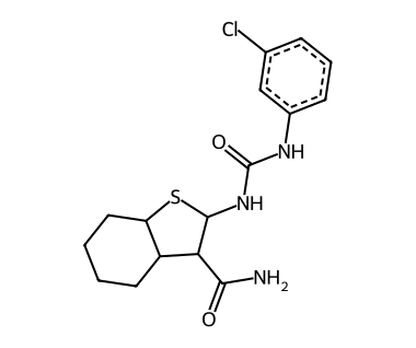 NC(=O)C1C(NC(=O)Nc2cccc(Cl)c2)SC2CCCCC21